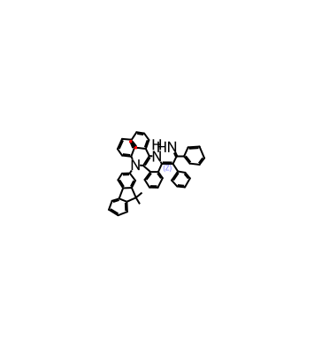 CC1(C)c2ccccc2-c2ccc(N(C3=C(c4ccccc4)N/C(=C(\C(=N)c4ccccc4)c4ccccc4)c4ccccc43)c3ccccc3)cc21